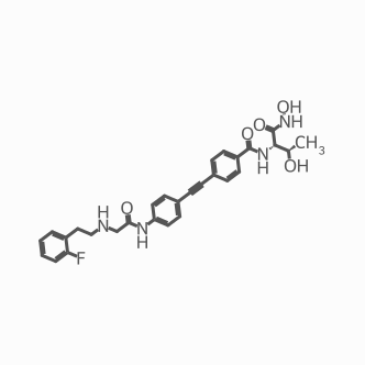 C[C@@H](O)[C@H](NC(=O)c1ccc(C#Cc2ccc(NC(=O)CNCCc3ccccc3F)cc2)cc1)C(=O)NO